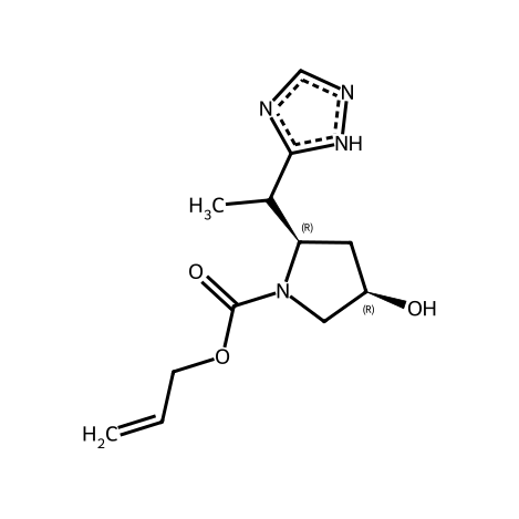 C=CCOC(=O)N1C[C@H](O)C[C@@H]1C(C)c1ncn[nH]1